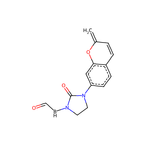 C=C1C=Cc2ccc(N3CCN(BC=O)C3=O)cc2O1